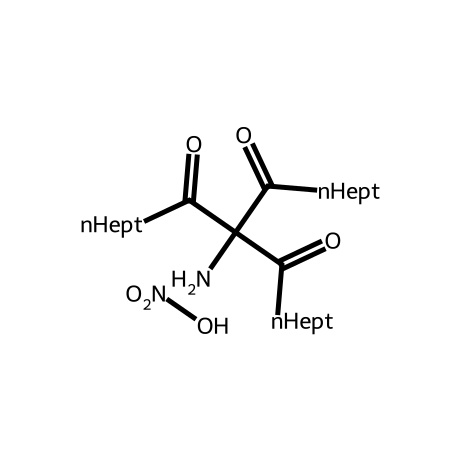 CCCCCCCC(=O)C(N)(C(=O)CCCCCCC)C(=O)CCCCCCC.O=[N+]([O-])O